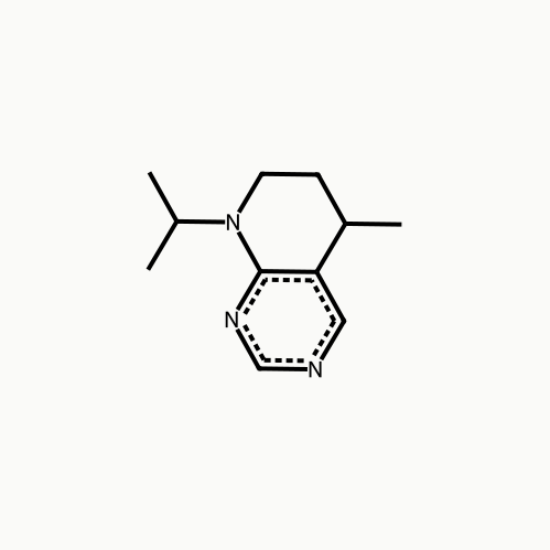 CC1CCN(C(C)C)c2ncncc21